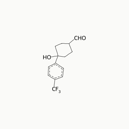 O=CC1CCC(O)(c2ccc(C(F)(F)F)cc2)CC1